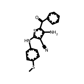 CSc1ccc(Nc2sc(C(=O)c3ccccc3)c(N)c2C#N)cc1